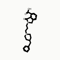 O=C(O)c1cccc2c1C(=O)N(CCCN1CCC(Cc3ccccc3)CC1)C2